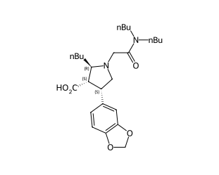 CCCC[C@@H]1[C@@H](C(=O)O)[C@@H](c2ccc3c(c2)OCO3)CN1CC(=O)N(CCCC)CCCC